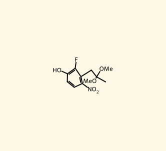 COC(C)(Cc1c([N+](=O)[O-])ccc(O)c1F)OC